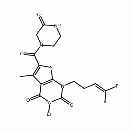 CCn1c(=O)c2c(C)c(C(=O)N3CCNC(=O)C3)sc2n(CCC=C(F)F)c1=O